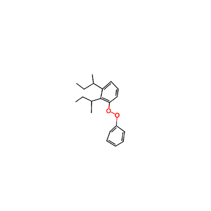 CCC(C)c1cccc(OOc2ccccc2)c1C(C)CC